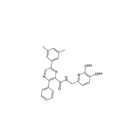 COc1ccc(CNC(=O)c2nc(-c3cc(C)cc(C)c3)cnc2-c2ccccc2)nc1OC